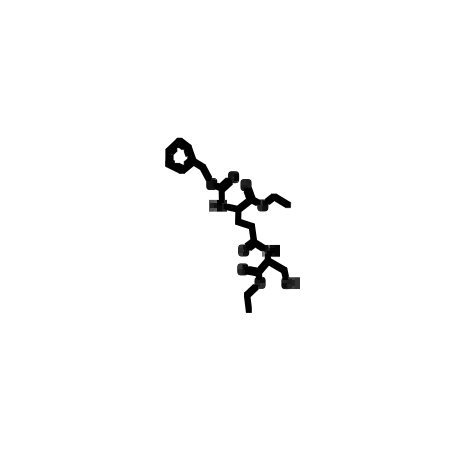 CCOC(=O)C(CO)NC(=O)CCC(NC(=O)OCc1ccccc1)C(=O)OCC